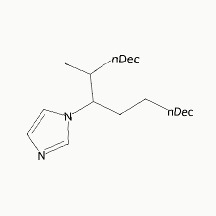 CCCCCCCCCCCCC(C(C)CCCCCCCCCC)n1ccnc1